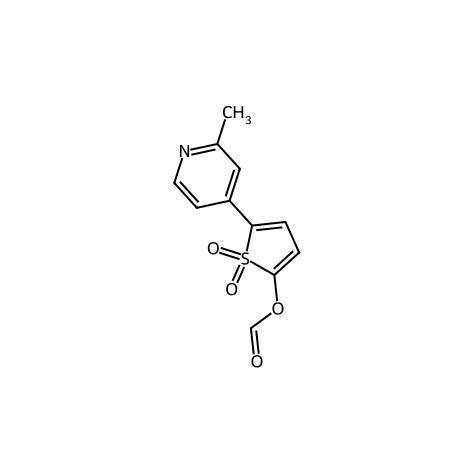 Cc1cc(C2=CC=C(OC=O)S2(=O)=O)ccn1